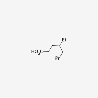 CCC(CCC(=O)O)CC(C)C